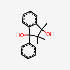 CC1(O)c2ccccc2C(O)(c2ccccc2)C1(C)C